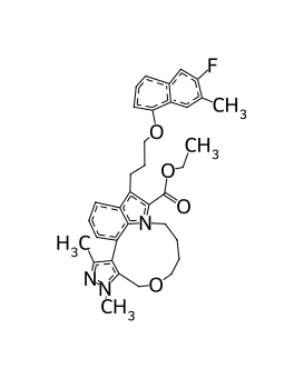 CCOC(=O)c1c(CCCOc2cccc3cc(F)c(C)cc23)c2cccc3c2n1CCCCOCc1c-3c(C)nn1C